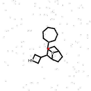 [CH]1CC2CCC(C1C1CNC1)N2CC1CCCCCC1